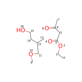 CCOC(=O)CC(C)=O.COCC(C)CCO